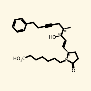 C[C@H](CC#CCCc1ccccc1)[C@H](O)C=C[C@H]1CCC(=O)N1CCCCCCC(=O)O